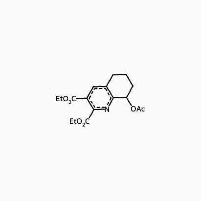 CCOC(=O)c1cc2c(nc1C(=O)OCC)C(OC(C)=O)CCC2